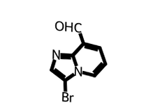 O=Cc1cccn2c(Br)cnc12